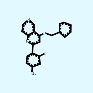 CC(C)(C)c1ccc(-c2cc(OCc3ccccc3)c3cnccc3n2)c(Cl)c1